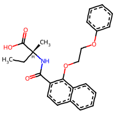 CC[C@@](C)(NC(=O)c1ccc2ccccc2c1OCCOc1ccccc1)C(=O)O